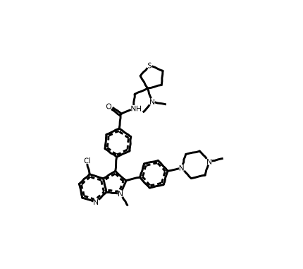 CN1CCN(c2ccc(-c3c(-c4ccc(C(=O)NCC5(N(C)C)CCSC5)cc4)c4c(Cl)ccnc4n3C)cc2)CC1